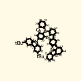 CC(C)(C)c1ccc2c(c1)c1cc(C(C)(C)C)ccc1n2-c1cc2c3c(c1)-n1c4cc5c(cc4c4cccc(c41)B3c1ccccc1O2)c1cccc2c3ccccc3n5c21